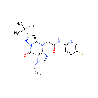 CCn1cnc2c1c(=O)n1nc(C(C)(C)C)cc1n2CC(=O)Nc1ccc(F)cn1